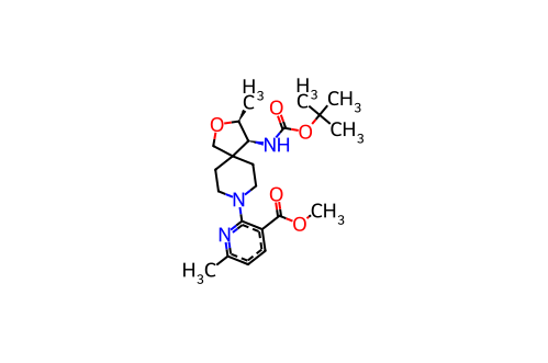 COC(=O)c1ccc(C)nc1N1CCC2(CC1)CO[C@@H](C)[C@H]2NC(=O)OC(C)(C)C